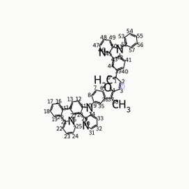 C=C(/C=C\c1oc2ccc(-n3c4ccc(-c5ccccc5-c5ccccn5)cc4c4ncccc43)cc2c1C)c1ccc2c(c1)c1ncccc1n2-c1ccccc1